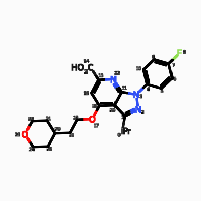 CC(C)c1nn(-c2ccc(F)cc2)c2nc(C(=O)O)cc(OCCC3CCOCC3)c12